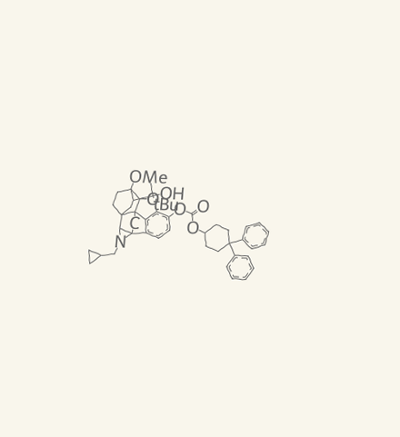 COC12CCC3(CC1C(C)(O)C(C)(C)C)C1N(CC4CC4)C14CC31c3c4ccc(OC(=O)OC4CCC(c5ccccc5)(c5ccccc5)CC4)c3OC21